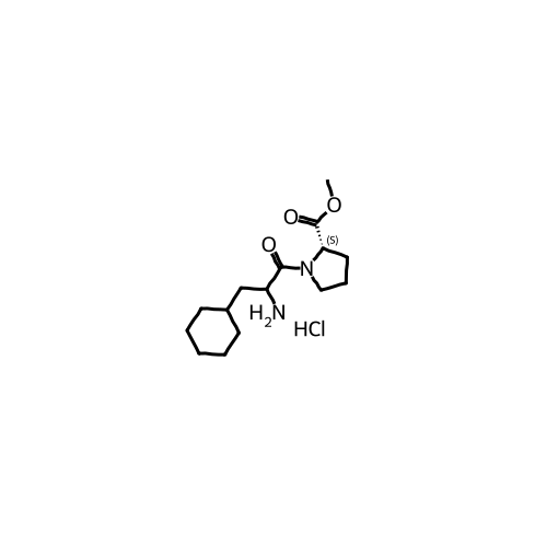 COC(=O)[C@@H]1CCCN1C(=O)C(N)CC1CCCCC1.Cl